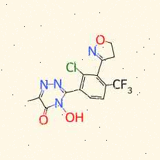 Cc1nnc(-c2ccc(C(F)(F)F)c(C3=NOCC3)c2Cl)n(O)c1=O